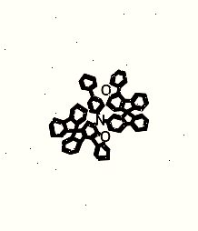 c1ccc(-c2ccc(N(c3ccc4c(c3)C3(c5ccccc5-4)c4ccccc4-c4c3ccc3oc5ccccc5c43)c3cc4c(c5c3oc3ccccc35)-c3ccccc3C43c4ccccc4-c4ccccc43)cc2)cc1